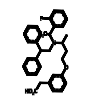 CC(CCOc1cccc(CC(=O)O)c1)N(CC(c1ccccc1)c1ccccc1)C(c1ccccc1F)C(F)(F)F